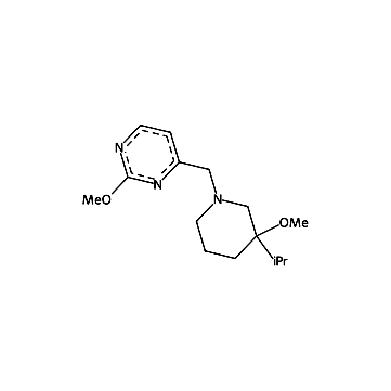 COc1nccc(CN2CCCC(OC)(C(C)C)C2)n1